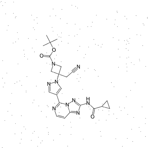 CC(C)(C)OC(=O)N1CC(CC#N)(n2cc(-c3nccc4nc(NC(=O)C5CC5)nn34)cn2)C1